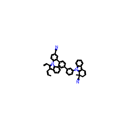 C=Cc1c(/C=C\C)c2ccccc2n1-c1ccc(C#N)cc1-c1ccc(-c2cccc(-n3c4c(c5ccccc53)C=CCC4(C)C#N)c2)cc1